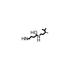 CNCCCC(O)NCC[C@H](C)C(C)C